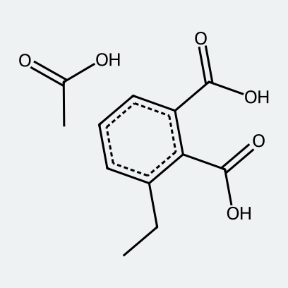 CC(=O)O.CCc1cccc(C(=O)O)c1C(=O)O